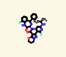 CC(C)Nc1ccc(-c2nn3c(c2C(=O)N[C@H]2N=C(c4ccccc4)c4cccc(F)c4NC2=O)OCCC3)c(F)n1